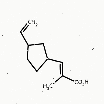 C=CC1CCC(C=C(C)C(=O)O)C1